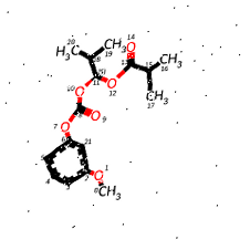 COc1cccc(OC(=O)O[C@H](OC(=O)C(C)C)C(C)C)c1